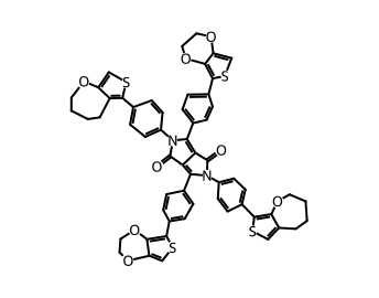 O=C1C2=C(c3ccc(-c4scc5c4OCCO5)cc3)N(c3ccc(-c4scc5c4OCCCC5)cc3)C(=O)C2=C(c2ccc(-c3scc4c3OCCO4)cc2)N1c1ccc(-c2scc3c2CCCCO3)cc1